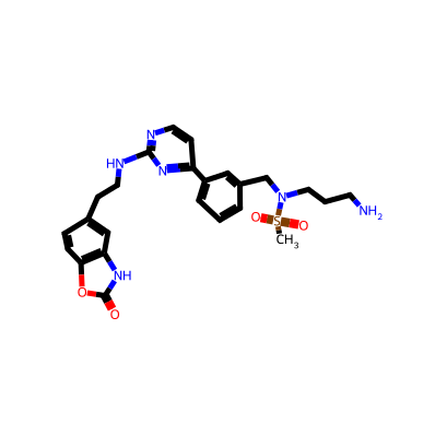 CS(=O)(=O)N(CCCN)Cc1cccc(-c2ccnc(NCCc3ccc4oc(=O)[nH]c4c3)n2)c1